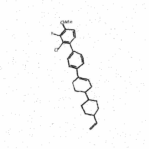 C=CC1CCC(C2CC=C(c3ccc(-c4ccc(OC)c(F)c4Cl)cc3)CC2)CC1